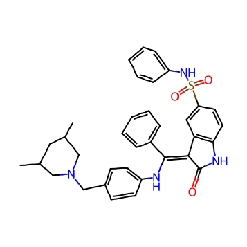 CC1CC(C)CN(Cc2ccc(N/C(=C3\C(=O)Nc4ccc(S(=O)(=O)Nc5ccccc5)cc43)c3ccccc3)cc2)C1